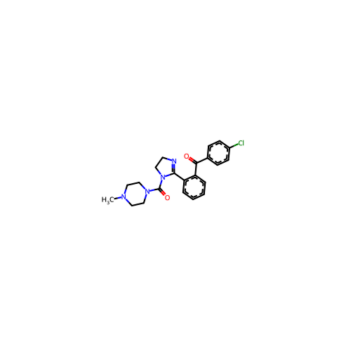 CN1CCN(C(=O)N2CCN=C2c2ccccc2C(=O)c2ccc(Cl)cc2)CC1